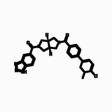 CC1CC(c2ccc(C(=O)N3C[C@@H]4CN(C(=O)c5ccc6[nH]nnc6c5)C[C@H]4C3)cc2)=CC=C1Cl